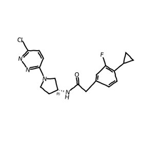 O=C(Cc1ccc(C2CC2)c(F)c1)N[C@@H]1CCN(c2ccc(Cl)nn2)C1